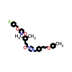 Cc1ccc(OC/C=C/c2ccc(CN3CCN(C(=O)/C=C/c4cc(C)c(Oc5ccc(OCc6ccc(F)cc6)cn5)c(C)c4)CC3)cc2)cc1